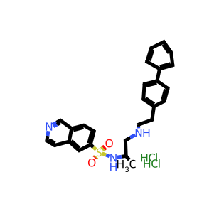 CC(CNCCc1ccc(-c2ccccc2)cc1)NS(=O)(=O)c1ccc2cnccc2c1.Cl.Cl